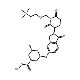 C[C@H]1C[C@@H](Oc2ccc3c(c2)CN(C2CCC(=O)N(COCC[Si](C)(C)C)C2=O)C3=O)CN(C(=O)OC(C)(C)C)C1